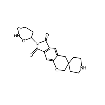 O=C1c2cc3c(cc2C(=O)N1C1CCONO1)OCC1(CCNCC1)C3